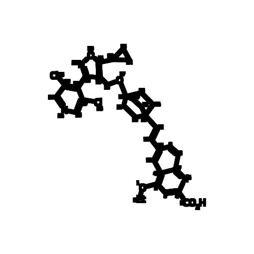 CCOc1cc(C(=O)O)nc2ccc(/C=C/C34CCC(OCc5c(-c6c(Cl)cncc6Cl)noc5C5CC5)(CC3)CC4)cc12